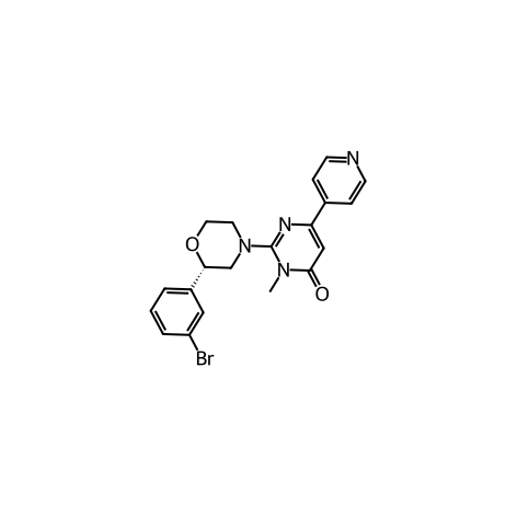 Cn1c(N2CCO[C@@H](c3cccc(Br)c3)C2)nc(-c2ccncc2)cc1=O